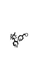 Cc1nnc(-c2ccncc2N2CCC(C=O)CC2)s1